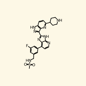 CS(=O)(=O)NCc1cc(F)cc(-c2ccnc3[nH]c(-c4n[nH]c5ccc(C6CCNCC6)nc45)nc23)c1